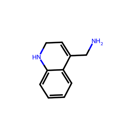 NCC1=CCNc2ccccc21